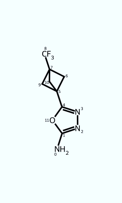 Nc1nnc(C23CC(C(F)(F)F)(C2)C3)o1